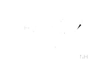 C[C@]12CNC[C@@H](O[C@H]1C(=O)O)O2